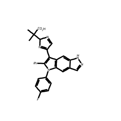 CC(C)c1c(C2=NC(C(C)(C)C(=O)O)N=C2)c2cc3[nH]ncc3cc2n1-c1ccc(F)cc1